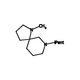 CCCC(C)N1CCCC2(CCCN2C)C1